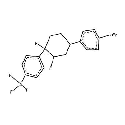 CCCc1ccc(C2CCC(F)(c3ccc(S(F)(F)F)cc3)C(F)C2)cc1